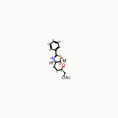 CC(=O)OC[C@H]1[C][C][C@H]2N=C(c3ccccc3)S[C@H]2O1